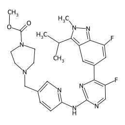 COC(=O)N1CCN(Cc2ccc(Nc3ncc(F)c(-c4cc(F)c5nn(C)c(C(C)C)c5c4)n3)nc2)CC1